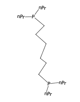 CCCP(CCC)CCCCCCP(CCC)CCC